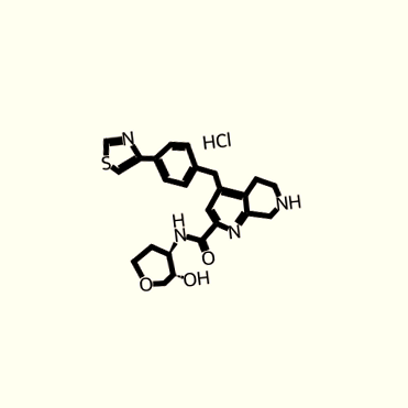 Cl.O=C(N[C@@H]1CCOC[C@H]1O)c1cc(Cc2ccc(-c3cscn3)cc2)c2c(n1)CNCC2